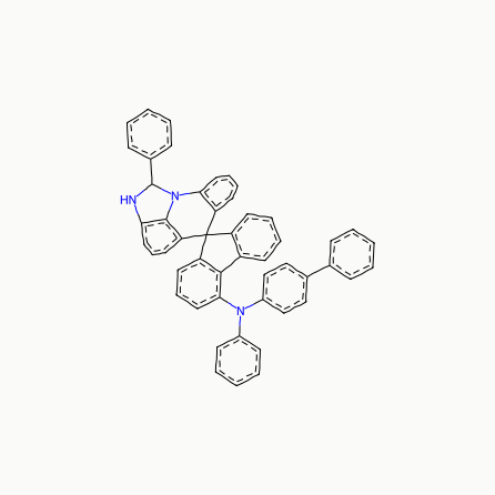 c1ccc(-c2ccc(N(c3ccccc3)c3cccc4c3-c3ccccc3C43c4ccccc4N4c5c(cccc53)NC4c3ccccc3)cc2)cc1